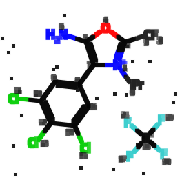 CC(C)[n+]1c(C(F)(F)F)oc(N)c1-c1cc(Cl)c(Cl)c(Cl)c1.F[B-](F)(F)F